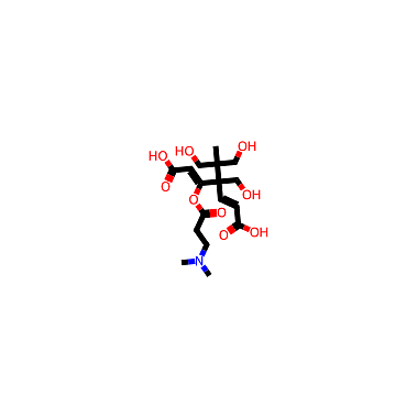 CN(C)CCC(=O)OC(=CC(=O)O)C(C=CC(=O)O)(CO)C(C)(CO)CO